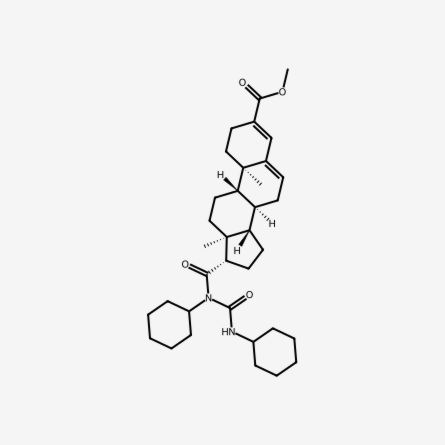 COC(=O)C1=CC2=CC[C@H]3[C@@H]4CC[C@H](C(=O)N(C(=O)NC5CCCCC5)C5CCCCC5)[C@@]4(C)CC[C@@H]3[C@@]2(C)CC1